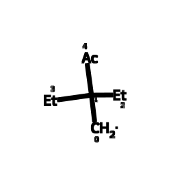 [CH2]C(CC)(CC)C(C)=O